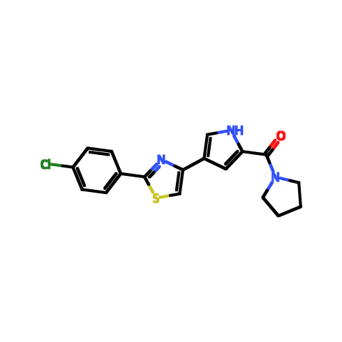 O=C(c1cc(-c2csc(-c3ccc(Cl)cc3)n2)c[nH]1)N1CCCC1